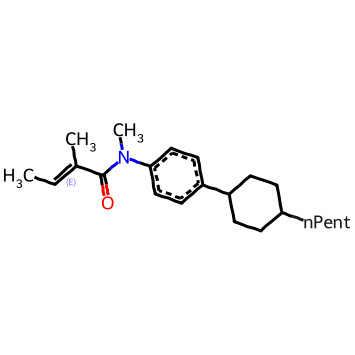 C/C=C(\C)C(=O)N(C)c1ccc(C2CCC(CCCCC)CC2)cc1